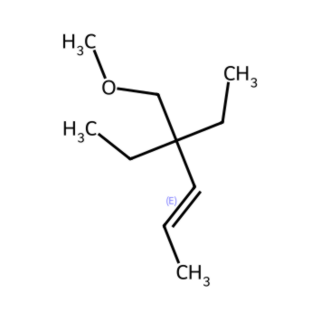 C/C=C/C(CC)(CC)COC